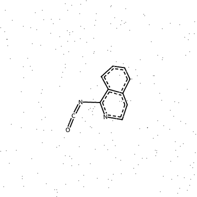 O=C=Nc1nccc2[c]cccc12